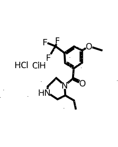 CCC1CNCCN1C(=O)c1cc(OC)cc(C(F)(F)F)c1.Cl.Cl